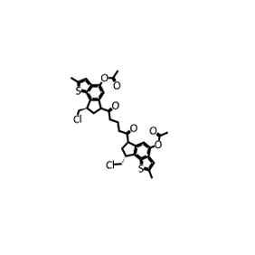 CC(=O)Oc1cc2c(c3sc(C)cc13)[C@H](CCl)CC2C(=O)CCCC(=O)C1C[C@@H](CCl)c2c1cc(OC(C)=O)c1cc(C)sc21